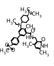 CCN(c1cc(-c2ccc(S(C)(=O)=O)cc2)cc(C(=O)NCc2c(C)cc(C)[nH]c2=O)c1C)C1CCC(N(C)C)CC1